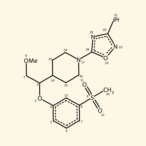 COCC(Oc1cc[c]c(S(C)(=O)=O)c1)C1CCN(c2nc(C(C)C)no2)CC1